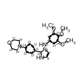 COc1cc(NN2C=CNC2c2ccc(N3CCOCC3)cc2)cc(OC)c1OC